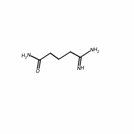 N=C(N)CCCC(N)=O